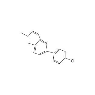 Cc1ccc2nc(-c3ccc(Cl)cc3)ccc2c1